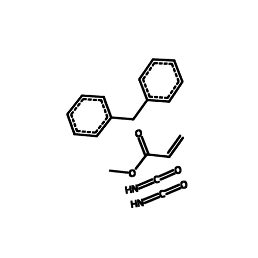 C=CC(=O)OC.N=C=O.N=C=O.c1ccc(Cc2ccccc2)cc1